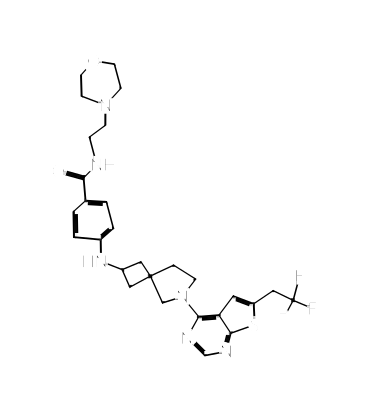 O=C(NCCN1CCOCC1)c1ccc(NC2CC3(CCN(c4ncnc5sc(CC(F)(F)F)cc45)C3)C2)cc1